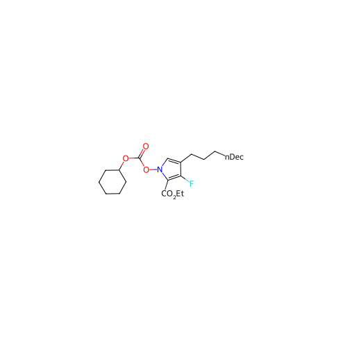 CCCCCCCCCCCCCc1cn(OC(=O)OC2CCCCC2)c(C(=O)OCC)c1F